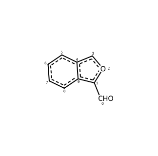 O=Cc1occ2ccccc12